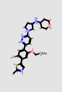 COCOc1cc(-c2cnc(C)s2)c(F)cc1-c1ccc(N2CCC(NC3CCOCC3)C2)nn1